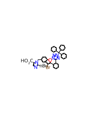 CCCCc1ncc(C(=O)O)n1Cc1ccc2oc(-c3ccccc3-c3nnn(C(c4ccccc4)(c4ccccc4)c4ccccc4)n3)c(Br)c2c1